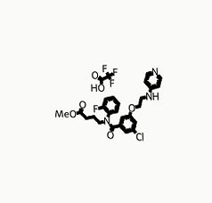 COC(=O)CCCN(C(=O)c1cc(Cl)cc(OCCNc2ccncc2)c1)c1ccccc1F.O=C(O)C(F)(F)F